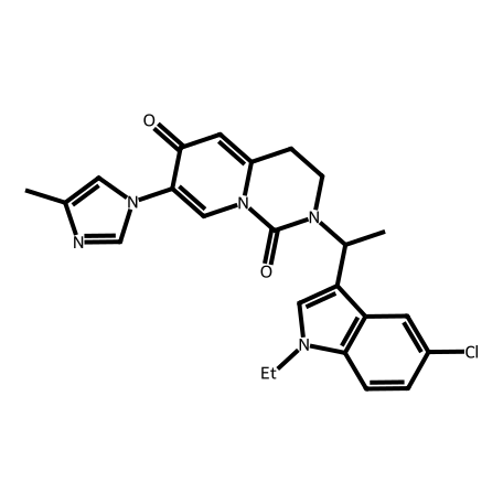 CCn1cc(C(C)N2CCc3cc(=O)c(-n4cnc(C)c4)cn3C2=O)c2cc(Cl)ccc21